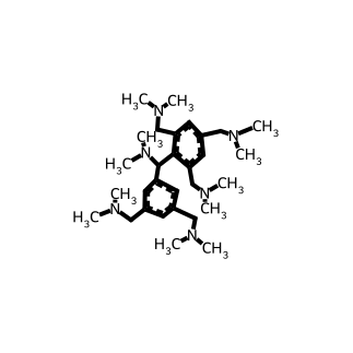 CN(C)Cc1cc(CN(C)C)cc(C(c2c(CN(C)C)cc(CN(C)C)cc2CN(C)C)N(C)C)c1